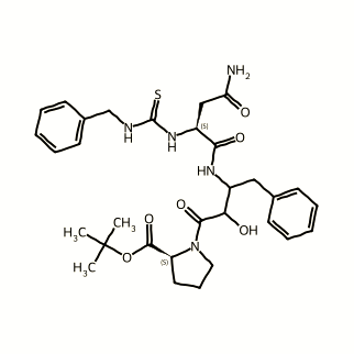 CC(C)(C)OC(=O)[C@@H]1CCCN1C(=O)C(O)C(Cc1ccccc1)NC(=O)[C@H](CC(N)=O)NC(=S)NCc1ccccc1